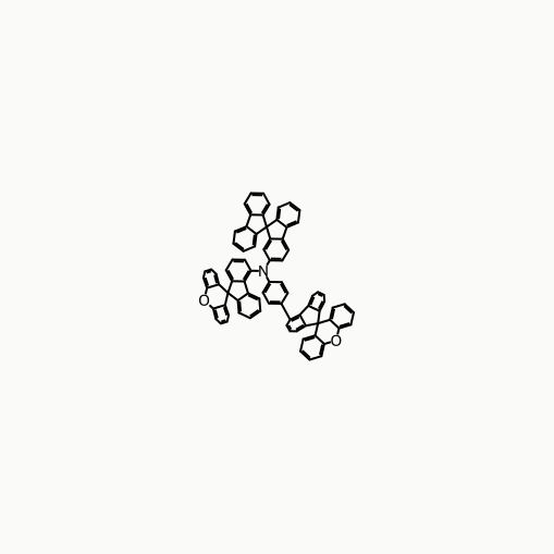 c1ccc2c(c1)Oc1ccccc1C21c2ccccc2-c2c(-c3ccc(N(c4ccc5c(c4)C4(c6ccccc6-c6ccccc64)c4ccccc4-5)c4cccc5c4-c4ccccc4C54c5ccccc5Oc5ccccc54)cc3)cccc21